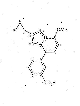 COc1ccc(-c2cccc(C(=O)O)c2)c2nc(C3CC3)nn12